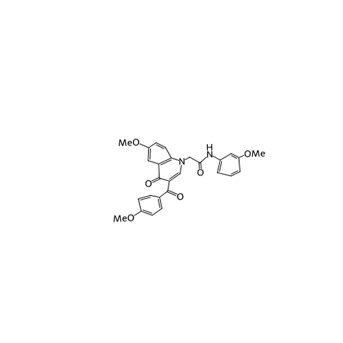 COc1ccc(C(=O)c2cn(CC(=O)Nc3cccc(OC)c3)c3ccc(OC)cc3c2=O)cc1